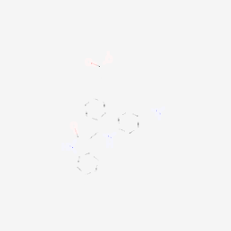 CCOC(=O)CCc1ccc(C(Nc2ccc(CN(C)C)cc2)=C2C(=O)Nc3cc(F)ccc32)cc1